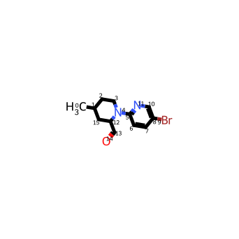 CC1CCN(c2ccc(Br)cn2)C(C=O)C1